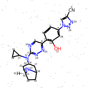 N#Cc1cn(-c2ccc(-c3cnc(N(C4CC4)[C@H]4CC5CC[C@@H](C4)N5)nn3)c(O)c2)nn1